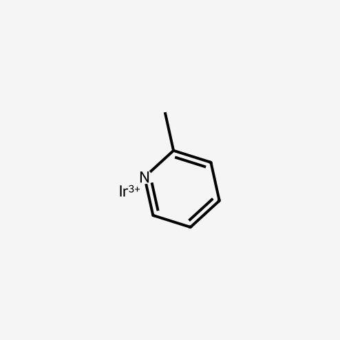 Cc1ccccn1.[Ir+3]